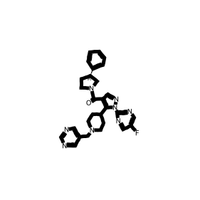 O=C(c1cnn(-c2ncc(F)cn2)c1C1CCN(Cc2cncnc2)CC1)N1CC[C@H](c2ccccc2)C1